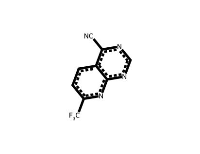 N#Cc1ncnc2nc(C(F)(F)F)ccc12